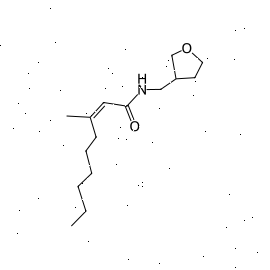 CCCCCCC(C)=CC(=O)NCC1CCOC1